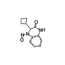 O=NN1c2ccccc2NC(=O)C1C1CCC1